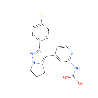 O=C(O)Nc1cc(-c2c(-c3ccc(F)cc3)nn3c2CCC3)ccn1